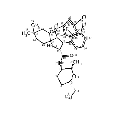 C[C@H]1O[C@H](CO)CC[C@H]1NC(=O)[C@@H]1NC2(CCC(C)(C)CC2)[C@@]2(C(=O)Nc3cc(Cl)ccc32)[C@H]1c1ccnc(Cl)c1F